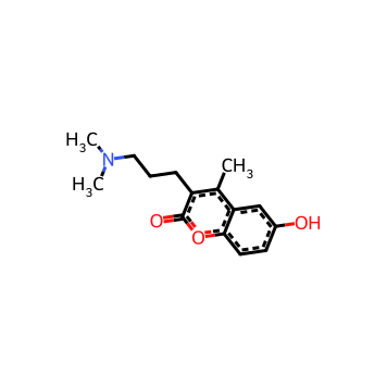 Cc1c(CCCN(C)C)c(=O)oc2ccc(O)cc12